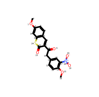 COc1ccc2cc(C(=O)Cc3ccc(OC)c([N+](=O)[O-])c3)c(=O)sc2c1